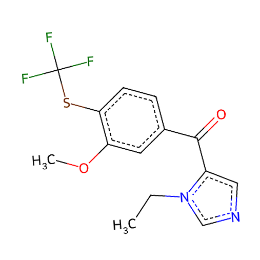 CCn1cncc1C(=O)c1ccc(SC(F)(F)F)c(OC)c1